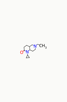 CCN1CCC2C(CCC(=O)N2C2CC2)C1